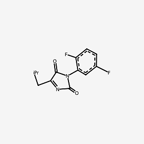 CC(C)CC1=NC(=O)N(c2cc(F)ccc2F)C1=O